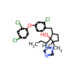 CCC(n1cncn1)C1(O)C(Cc2ccc(Oc3ccc(Cl)cc3Cl)cc2Cl)CCC1(C)C